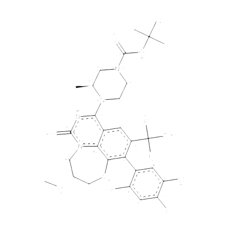 CO[C@H]1CSc2c(-c3cc(Cl)c(F)cc3F)c(C(F)(F)F)cc3c(N4CCN(C(=O)OC(C)(C)C)C[C@@H]4C)nc(=O)n(c23)C1